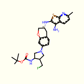 Cc1ccc2c(N)c(N[C@H]3COc4cc(N5CC(CF)C(NC(=O)OC(C)(C)C)C5)ccc4C3)sc2n1